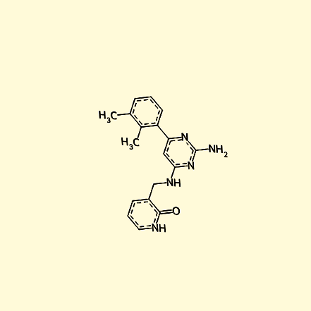 Cc1cccc(-c2cc(NCc3ccc[nH]c3=O)nc(N)n2)c1C